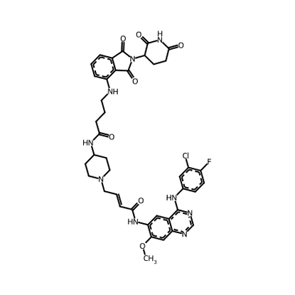 COc1cc2ncnc(Nc3ccc(F)c(Cl)c3)c2cc1NC(=O)/C=C/CN1CCC(NC(=O)CCCNc2cccc3c2C(=O)N(C2CCC(=O)NC2=O)C3=O)CC1